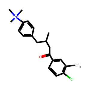 CC(CC(=O)c1ccc(Cl)c(C(F)(F)F)c1)Cc1ccc([N+](C)(C)C)cc1